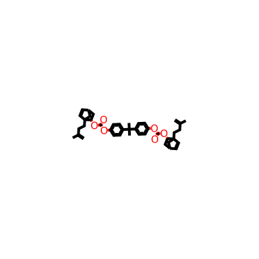 C=C(C)CCC12C=CC(CC1OC(=O)Oc1ccc(C(C)(C)c3ccc(OC(=O)OC4CC5C=CC4(CCC(=C)C)C5)cc3)cc1)C2